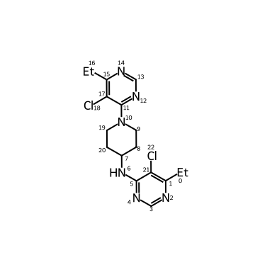 CCc1ncnc(NC2CCN(c3ncnc(CC)c3Cl)CC2)c1Cl